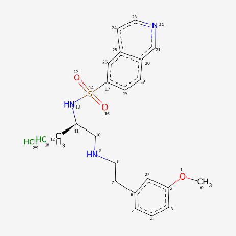 COc1cccc(CCNC[C@@H](C)NS(=O)(=O)c2ccc3cnccc3c2)c1.Cl.Cl